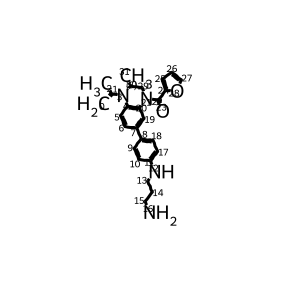 C=C(C)N1c2ccc(-c3ccc(NCCCN)cc3)cc2N(C(=O)c2ccco2)C[C@@H]1C